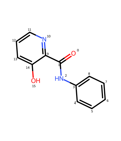 O=C(Nc1[c]cccc1)c1ncccc1O